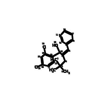 CC(C)(C)CC(=Cc1cccnc1)C(O)c1ccc(Cl)cc1Cl